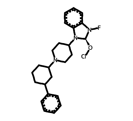 FN1c2ccccc2N(C2CCN(C3CCCC(c4ccccc4)C3)CC2)[C@@H]1OCl